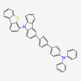 c1ccc(N(c2ccccc2)c2ccc(-c3ccc(-c4ccc5c(c4)c4ccccc4n5-c4cccc5c4sc4ccccc45)cc3)cc2)cc1